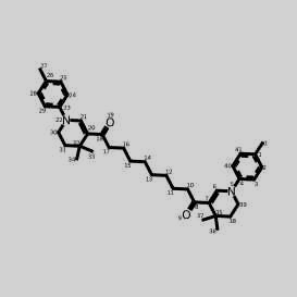 Cc1ccc(N2C=C(C(=O)CCCCCCCCC(=O)C3=CN(c4ccc(C)cc4)CCC3(C)C)C(C)(C)CC2)cc1